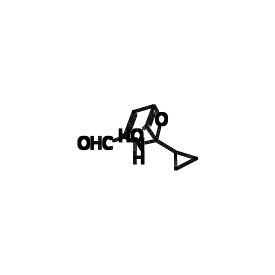 O=CC1=CC2=C(O)C(C3CC3)(N1)O2